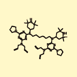 C=CCN(CC=C)c1nc(N2CCCC2)nc(N(CCCCCCN(c2nc(N(CC=C)CC=C)nc(N3CCCC3)n2)C2CC(C)(C)NC(C)(C)C2)C2CC(C)(C)NC(C)(C)C2)n1